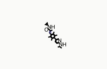 C/C(=C\c1c(C)c(C)c(-c2ccc(NC(C)C)nc2)c(C)c1C)C(=O)NC1CC1